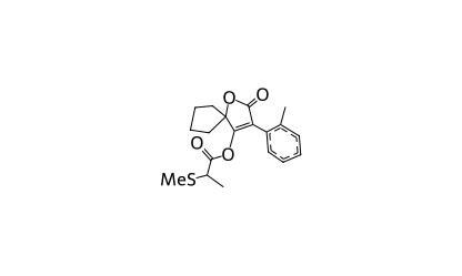 CSC(C)C(=O)OC1=C(c2ccccc2C)C(=O)OC12CCCC2